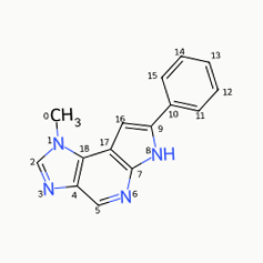 Cn1cnc2cnc3[nH]c(-c4ccccc4)cc3c21